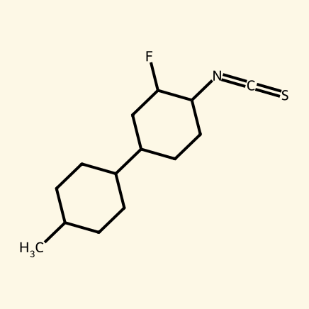 CC1CCC(C2CCC(N=C=S)C(F)C2)CC1